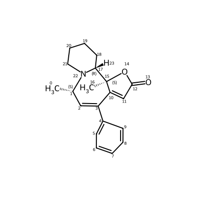 C[C@H]1C=C(c2ccccc2)C2=CC(=O)O[C@]2(C)[C@H]2CCCCN12